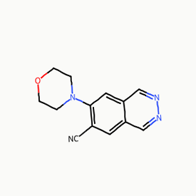 N#Cc1cc2cnncc2cc1N1CCOCC1